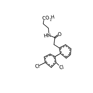 O=C(O)CCNC(=O)Cc1ccccc1-c1ccc(Cl)cc1Cl